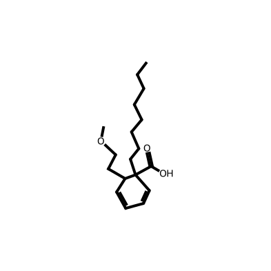 CCCCCCCCC1(C(=O)O)C=CC=CC1CCOC